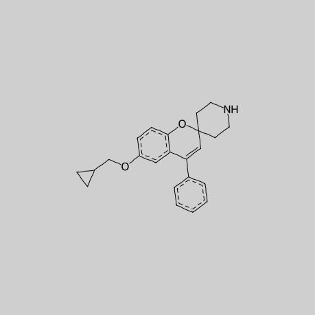 C1=C(c2ccccc2)c2cc(OCC3CC3)ccc2OC12CCNCC2